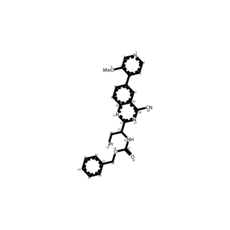 COc1cnccc1-c1ccc2nc(C(CC(C)C)NC(=O)OCc3ccccc3)nc(C#N)c2c1